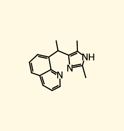 Cc1nc(C(C)c2cccc3cccnc23)c(C)[nH]1